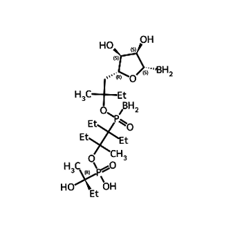 B[C@@H]1O[C@H](CC(C)(CC)OP(B)(=O)C(CC)(CC)C(C)(CC)OP(=O)(O)[C@@](C)(O)CC)[C@@H](O)[C@H]1O